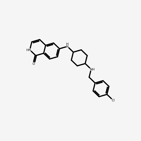 O=c1[nH]ccc2cc(NC3CCC(NCc4ccc(Cl)cc4)CC3)ccc12